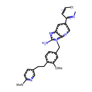 CC/C=C\C(=N/C)c1cnc2c(c1)nc(N)n2Cc1ccc(CCc2ccc(NC)nc2)c(OC)c1